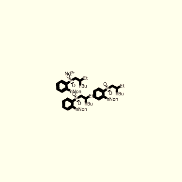 CCCCCCCCCc1ccccc1P(=O)([O-])CC(CC)CCCC.CCCCCCCCCc1ccccc1P(=O)([O-])CC(CC)CCCC.CCCCCCCCCc1ccccc1P(=O)([O-])CC(CC)CCCC.[Nd+3]